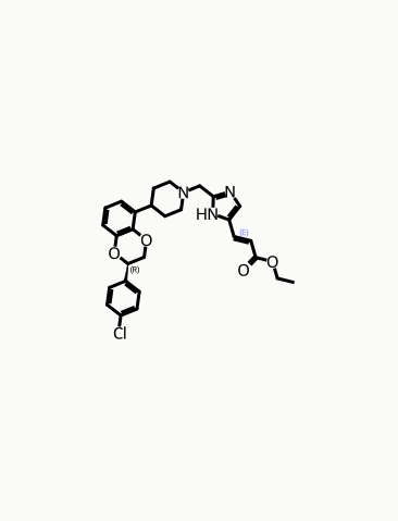 CCOC(=O)/C=C/c1cnc(CN2CCC(c3cccc4c3OC[C@@H](c3ccc(Cl)cc3)O4)CC2)[nH]1